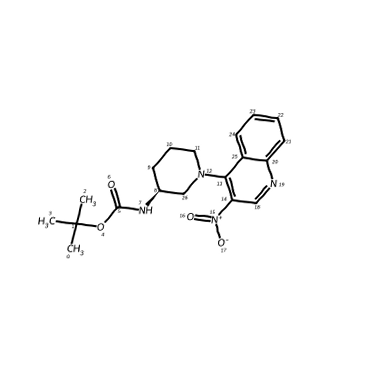 CC(C)(C)OC(=O)N[C@H]1CCCN(c2c([N+](=O)[O-])cnc3ccccc23)C1